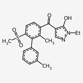 CCn1ncc(C(=O)c2ccc(S(C)(=O)=O)c(-c3cccc(C)c3)c2C)c1O